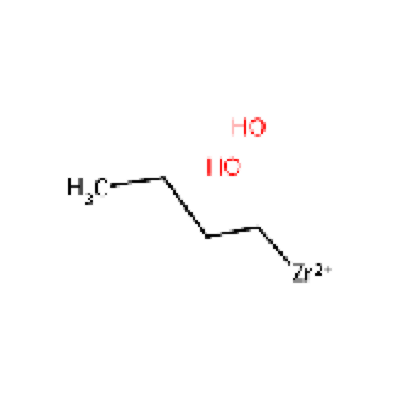 CCC[CH2][Zr+2].[OH-].[OH-]